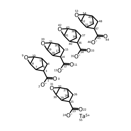 O=C([O-])C1CC2CC1C1OC21.O=C([O-])C1CC2CC1C1OC21.O=C([O-])C1CC2CC1C1OC21.O=C([O-])C1CC2CC1C1OC21.O=C([O-])C1CC2CC1C1OC21.[Ta+5]